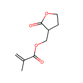 C=C(C)C(=O)OCC1CCOC1=O